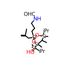 C=C(C)C[Si]1(CCCNC=O)O[Si](C)(C(C)C)C(C)[Si](C)([Si](C)(O)C(C)C)O1